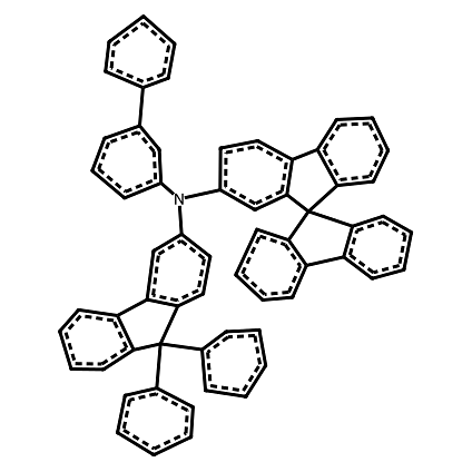 c1ccc(-c2cccc(N(c3ccc4c(c3)-c3ccccc3C4(c3ccccc3)c3ccccc3)c3ccc4c(c3)C3(c5ccccc5-c5ccccc53)c3ccccc3-4)c2)cc1